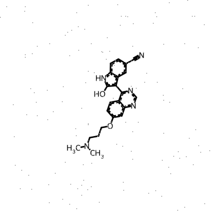 CN(C)CCCOc1ccc2c(-c3c(O)[nH]c4ccc(C#N)cc34)ncnc2c1